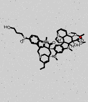 CCC1=C[C@H]2CN(C1)Cc1c([nH]c3ccc([S+]([O-])CCCO)cc13)[C@@](C(=O)OC)(c1cc3c(cc1OC)N(C)[C@H]1[C@@](O)(C(=O)OC)[C@H](OC(C)=O)[C@]4(CC)C=CCN5CC[C@]31[C@@H]54)C2